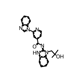 CC(C)(O)Cn1/c(=N/C(=O)c2ccnc(-n3cnc4ccccc43)c2)[nH]c2ccccc21